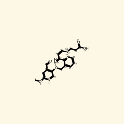 COc1cc(C=O)c(OCc2cccnc2C(=N)/C=C\NCCC(=O)O)cn1